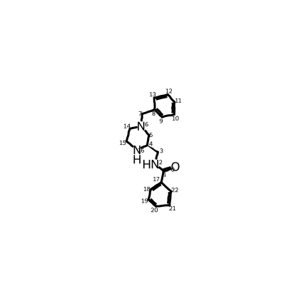 O=C(NC[C@@H]1CN(Cc2ccccc2)CCN1)c1ccccc1